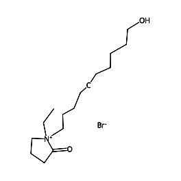 CC[N+]1(CCCCCCCCCCO)CCCC1=O.[Br-]